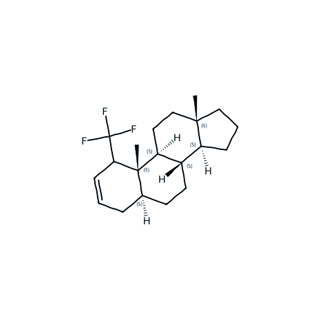 C[C@@]12CCC[C@H]1[C@@H]1CC[C@H]3CC=CC(C(F)(F)F)[C@]3(C)[C@H]1CC2